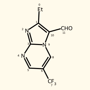 CCc1nc2ncc(C(F)(F)F)cn2c1C=O